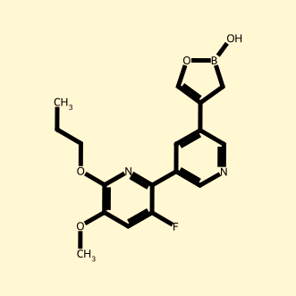 CCCOc1nc(-c2cncc(C3=COB(O)C3)c2)c(F)cc1OC